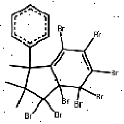 CC1(c2ccccc2)C2=C(Br)C(Br)=C(Br)C(Br)(Br)C2(Br)C(Br)(Br)C1(C)C